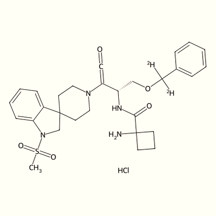 Cl.[2H]C([2H])(OC[C@H](NC(=O)C1(N)CCC1)C(=C=O)N1CCC2(CC1)CN(S(C)(=O)=O)c1ccccc12)c1ccccc1